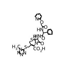 Cn1nnnc1SCC1=C(C(=O)O)N2C(=O)C(NC(=O)C(NC(=O)COc3ccccn3)c3ccccc3)[C@@H]2SC1